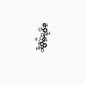 O=C(Nc1ccc(-n2cccn2)c(Cl)c1)c1cnn(-c2cnc3c4c(cccc24)C(=O)N3)c1C(F)(F)F